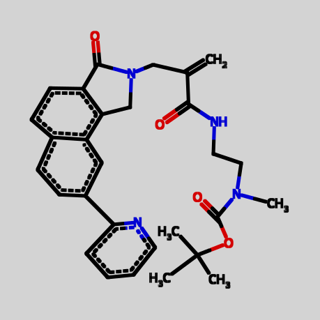 C=C(CN1Cc2c(ccc3ccc(-c4ccccn4)cc23)C1=O)C(=O)NCCN(C)C(=O)OC(C)(C)C